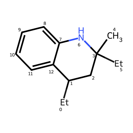 CCC1CC(C)(CC)Nc2ccccc21